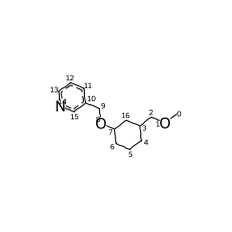 COCC1CCCC(OCc2cccnc2)C1